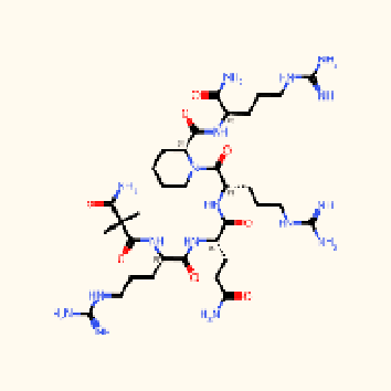 CC(C)(C(N)=O)C(=O)N[C@H](CCCNC(=N)N)C(=O)N[C@@H](CCC(N)=O)C(=O)N[C@@H](CCCNC(=N)N)C(=O)N1CCCC[C@H]1C(=O)N[C@H](CCCNC(=N)N)C(N)=O